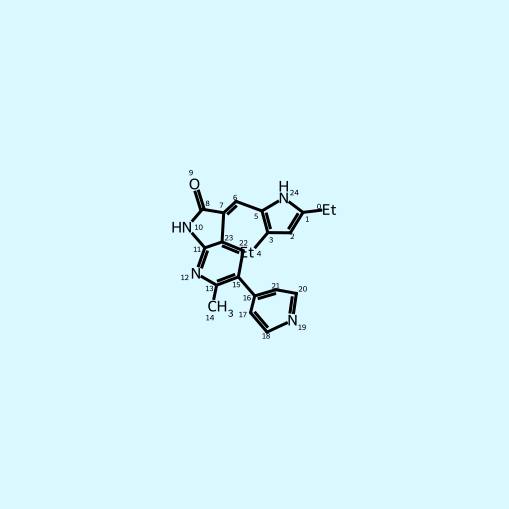 CCc1cc(CC)c(C=C2C(=O)Nc3nc(C)c(-c4ccncc4)cc32)[nH]1